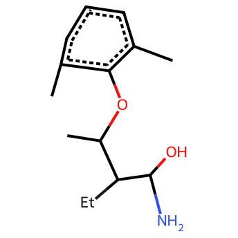 CCC(C(N)O)C(C)Oc1c(C)cccc1C